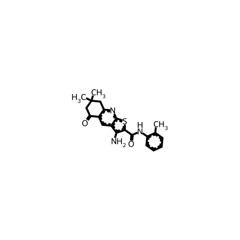 Cc1ccccc1NC(=O)c1sc2nc3c(cc2c1N)C(=O)CC(C)(C)C3